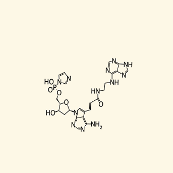 Nc1ncnc2c1c(/C=C/C(=O)NCCNc1ncnc3[nH]cnc13)cn2[C@H]1C[C@@H](O)[C@@H](COP(=O)(O)n2ccnc2)O1